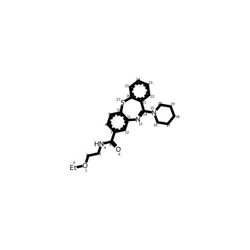 CCOCCNC(=O)c1ccc2c(c1)N=C(N1CCCCC1)c1ccccc1S2